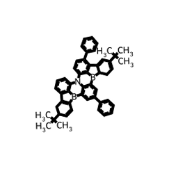 CC(C)(C)C1=CCC2B3c4cc(-c5ccccc5)cc5c4N(c4cccc6c4B5C4=C6CC(C(C)(C)C)C=C4)c4ccc(-c5ccccc5)c(c43)C2=C1